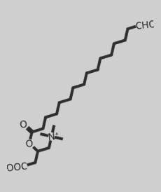 C[N+](C)(C)CC(CC(=O)[O-])OC(=O)CCCCCCCCCCCCCC[C]=O